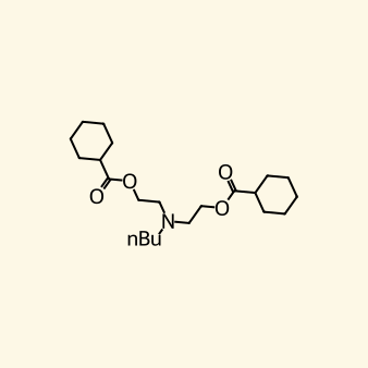 CCCCN(CCOC(=O)C1CCCCC1)CCOC(=O)C1CCCCC1